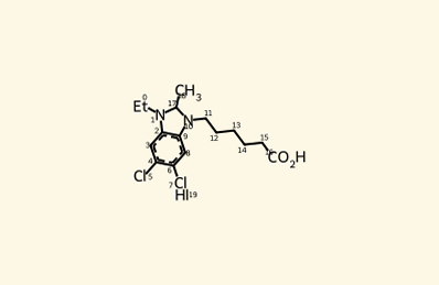 CCN1c2cc(Cl)c(Cl)cc2N(CCCCCC(=O)O)C1C.I